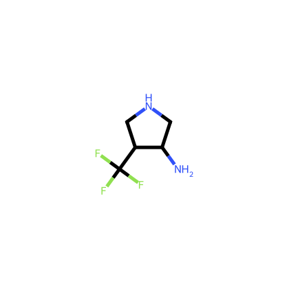 NC1CNCC1C(F)(F)F